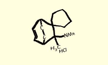 CNC1(C)C2C=CC(CC2)C12CCCC2.Cl